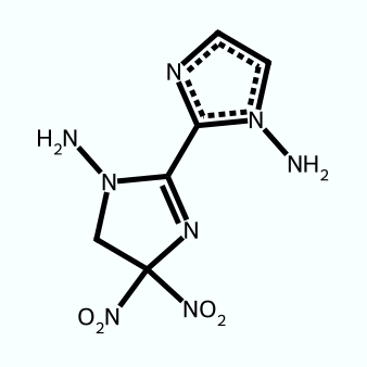 NN1CC([N+](=O)[O-])([N+](=O)[O-])N=C1c1nccn1N